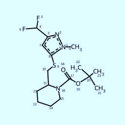 Cn1nc(C(F)F)cc1SCC1CCCCN1C(=O)OC(C)(C)C